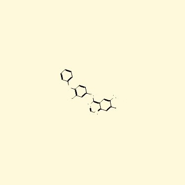 O=[N+]([O-])c1cc2c(Nc3ccc(Oc4ccccc4)c(Cl)c3)ncnc2cc1F